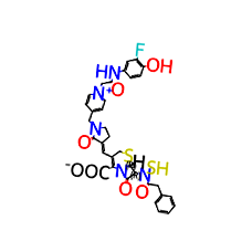 O=C(C[n+]1ccc(CN2CCC(=CC3=C(C(=O)[O-])N4C(=O)[C@@H](N(S)C(=O)Cc5ccccc5)[C@H]4SC3)C2=O)cc1)Nc1ccc(O)c(F)c1